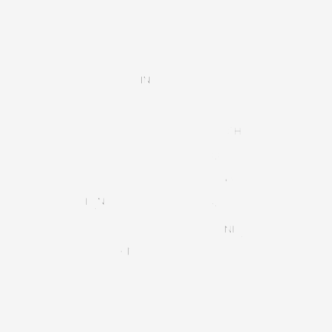 COC(c1cc(N)c(Cl)cc1C(N)=O)C1CCNCC1